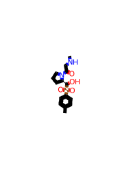 CNCC(=O)N1CCC[C@H]1C(O)S(=O)(=O)c1ccc(C)cc1